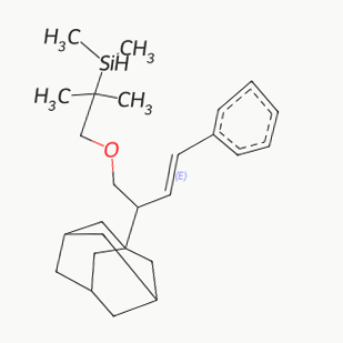 C[SiH](C)C(C)(C)COCC(/C=C/c1ccccc1)C12CC3CC(CC(C3)C1)C2